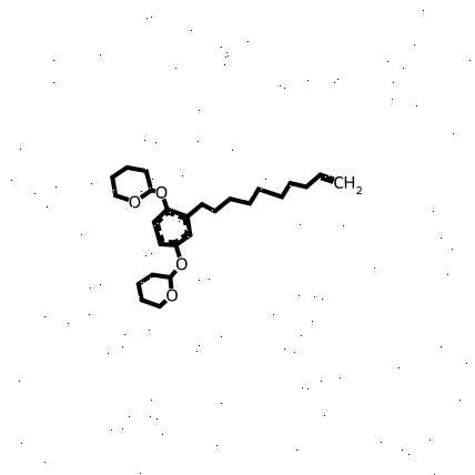 C=CCCCCCCCCc1cc(OC2CCCCO2)ccc1OC1CCCCO1